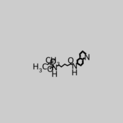 CC(C)S(=O)(=O)NCCCCC(=O)Nc1ccc2ncccc2c1